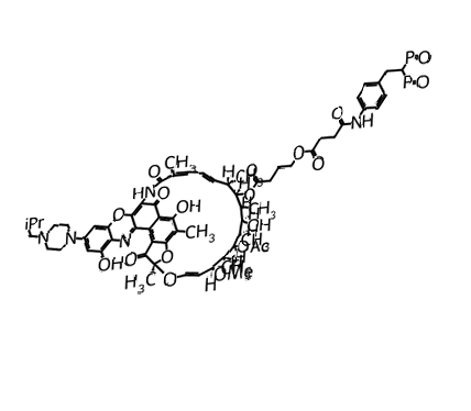 CO[C@H]1/C=C/O[C@@]2(C)Oc3c(C)c(O)c4c(=O)c(c5oc6cc(N7CCN(CC(C)C)CC7)cc(O)c6nc-5c4c3C2=O)NC(=O)/C(C)=C\C=C\[C@H](C)[C@H](OC(=O)CCCOC(=O)CCC(=O)Nc2ccc(CC(P=O)P=O)cc2)[C@@H](C)[C@@H](O)[C@@H](C)[C@H](OC(C)=O)[C@@H]1C